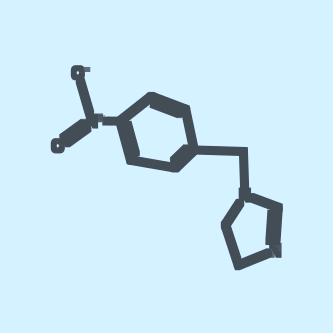 O=[N+]([O-])c1ccc(CN2C=NCC2)cc1